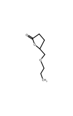 CCCOCC1CCC(=O)O1